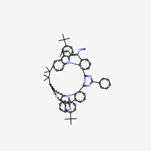 C=N/C(=C\C=C/C)c1cccc2c1-n1c3ccc(C(C)(C)C)cc3c3cc(ccc31)C(C)(C)C(C)(C)c1ccc3c(c1)c1cc(C(C)(C)C)ccc1n3-c1c(-c3ccccn3)cccc1-c1nc(-c3ccccc3)nc-2n1